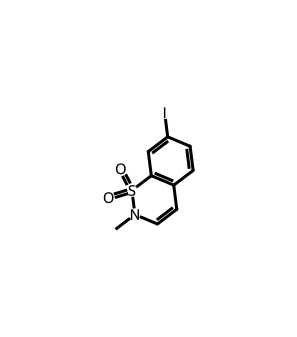 CN1C=Cc2ccc(I)cc2S1(=O)=O